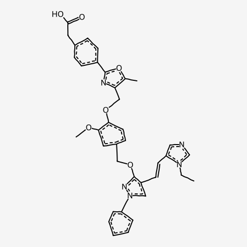 CCn1cncc1/C=C/c1cn(-c2ccccc2)nc1OCc1ccc(OCc2nc(-c3ccc(CC(=O)O)cc3)oc2C)c(OC)c1